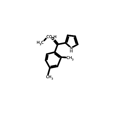 CC(=O)O.Cc1ccc(C(=O)c2ccc[nH]2)c(C)c1